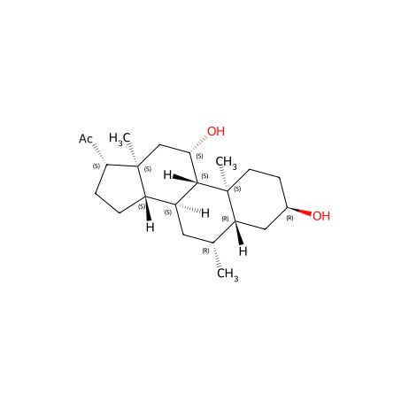 CC(=O)[C@H]1CC[C@H]2[C@@H]3C[C@@H](C)[C@H]4C[C@H](O)CC[C@]4(C)[C@H]3[C@@H](O)C[C@]12C